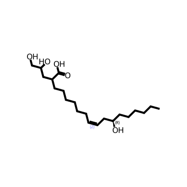 CCCCCC[C@@H](O)C/C=C\CCCCCCC(CC(O)CO)C(=O)O